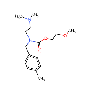 COCCOC(=O)N(CCN(C)C)Cc1ccc(C)cc1